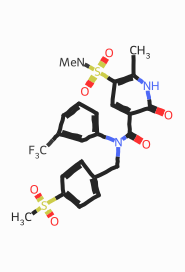 CNS(=O)(=O)c1cc(C(=O)N(Cc2ccc(S(C)(=O)=O)cc2)c2cccc(C(F)(F)F)c2)c(=O)[nH]c1C